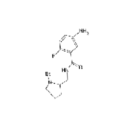 CCN1CCCC1CNC(=O)c1cc(N)ccc1F